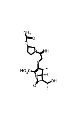 C[C@@H](O)[C@H]1C(=O)N2C(C(=O)O)=C(SCC(=N)N3CC[C@@H](OC(N)=O)C3)[C@H](C)[C@H]12